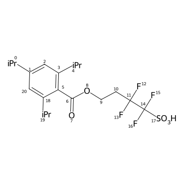 CC(C)c1cc(C(C)C)c(C(=O)OCCC(F)(F)C(F)(F)S(=O)(=O)O)c(C(C)C)c1